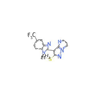 CCSc1nn2cccnc2c1-c1nc2cc(C(F)(F)F)ccc2n1C